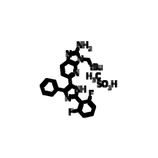 CC(C)(C)Cn1c(N)nc2ccc(-c3[nH]c(-c4c(F)cccc4F)nc3-c3ccccc3)nc21.CS(=O)(=O)O